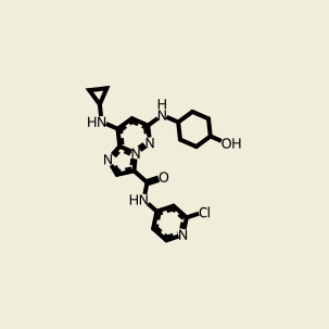 O=C(Nc1ccnc(Cl)c1)c1cnc2c(NC3CC3)cc(NC3CCC(O)CC3)nn12